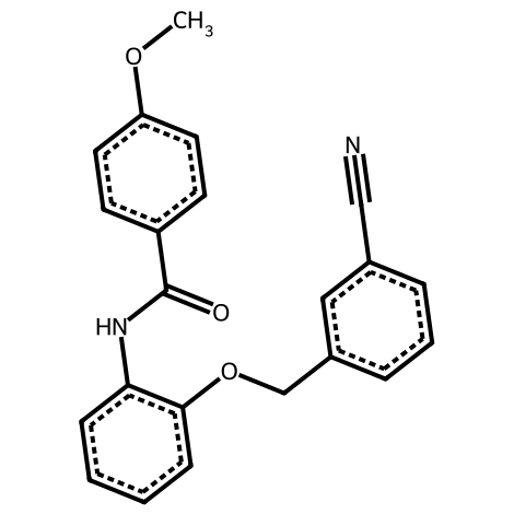 COc1ccc(C(=O)Nc2ccccc2OCc2cccc(C#N)c2)cc1